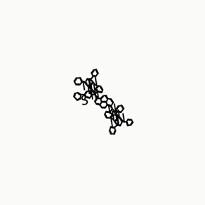 c1ccc(-c2cc(-c3ccccc3)nc(N3c4ccccc4N(c4ccc5ccc6c(N7c8ccccc8N(c8nc(-c9ccccc9)cc(-c9ccccc9)n8)c8cc9c(cc87)sc7ccccc79)ccc7ccc4c5c76)c4ccccc43)n2)cc1